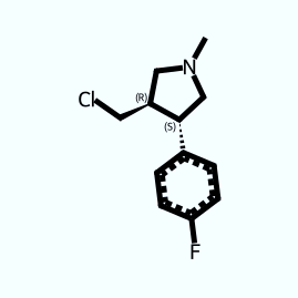 CN1C[C@H](CCl)[C@@H](c2ccc(F)cc2)C1